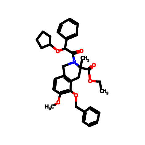 CCOC(=O)C1(C)Cc2c(ccc(OC)c2OCc2ccccc2)CN1C(=O)C(OC1CCCC1)c1ccccc1